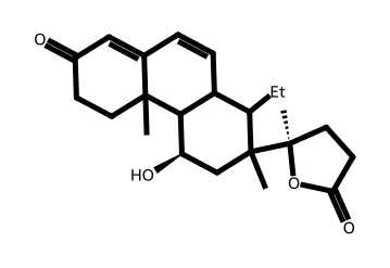 CCC1C2C=CC3=CC(=O)CCC3(C)C2[C@H](O)CC1(C)[C@@]1(C)CCC(=O)O1